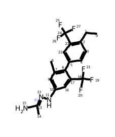 CCc1ccc(-c2c(C)cc(N/N=C(\C)N)cc2C(F)(F)F)cc1C(F)(F)F